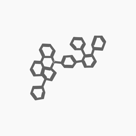 c1ccc(-c2ccc(N(c3ccc(-c4cccc(-c5ccccc5)c4-c4ccccc4)cc3)c3ccccc3-c3ccccc3)cc2)cc1